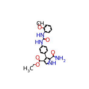 CCOC(=O)c1c[nH]c(C(N)=O)c1-c1ccc(NC(=O)Nc2ccccc2OC)cc1